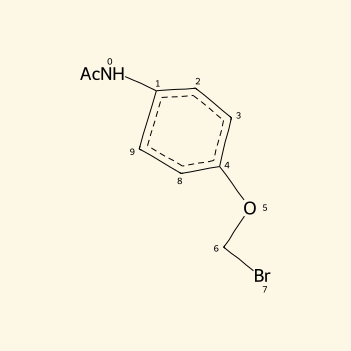 CC(=O)Nc1ccc(OCBr)cc1